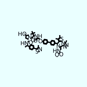 COC(=O)NCC1N=C(c2ccc(-c3ccc(OCC(=O)NC(C(=O)N4C[C@H](O)C[C@H]4C(=O)NC(C)c4ccc(-c5scnc5C)cc4)C(C)(C)C)cc3)cc2)c2c(sc(C)c2C)-n2c(C)nnc21